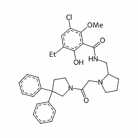 CCc1cc(Cl)c(OC)c(C(=O)NCC2CCCN2CC(=O)N2CCC(c3ccccc3)(c3ccccc3)C2)c1O